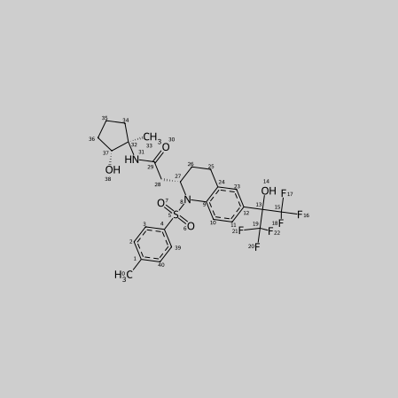 Cc1ccc(S(=O)(=O)N2c3ccc(C(O)(C(F)(F)F)C(F)(F)F)cc3CC[C@H]2CC(=O)N[C@]2(C)CCC[C@H]2O)cc1